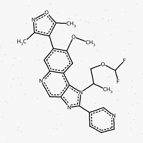 COc1cc2c(cc1-c1c(C)noc1C)ncc1nc(-c3cccnc3)n(C(C)COC(F)F)c12